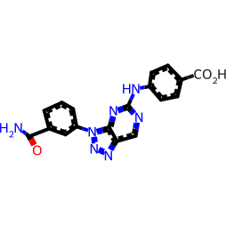 NC(=O)c1cccc(-n2nnc3cnc(Nc4ccc(C(=O)O)cc4)nc32)c1